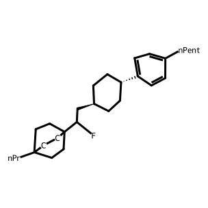 CCCCCc1ccc([C@H]2CC[C@H](CC(F)C34CCC(CCC)(CC3)CC4)CC2)cc1